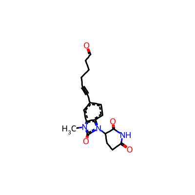 Cn1c(=O)n(C2CCC(=O)NC2=O)c2ccc(C#CCCCC=O)cc21